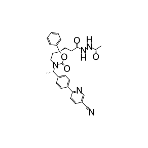 CC(=O)NNC(=O)CC[C@]1(c2ccccc2)CCN([C@@H](C)c2ccc(-c3ccc(C#N)cn3)cc2)C(=O)O1